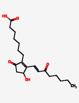 CCCCCC(=O)C=CC1=C(CCCCCCC(=O)O)C(=O)CC1O